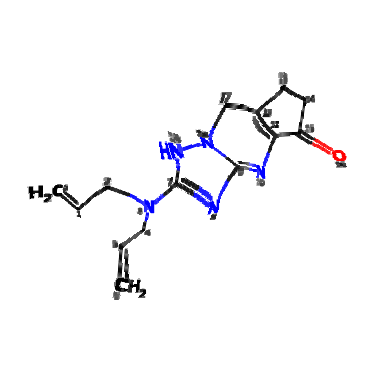 C=CCN(CC=C)C1=NC2=NC3=C(CCC3=O)CN2N1